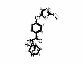 COc1ncc(Oc2ccc(C(=O)N[C@H]3CN4CCC3CC4)cc2)o1